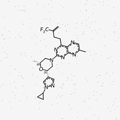 C=C(CCc1nc(N2C[C@@H](C)O[C@@H](c3cnn(C4CC4)c3)C2)nc2nc(C)cnc12)C(F)(F)F